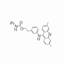 Cc1ccc2c(Nc3cccc(CCOC(=O)NC(C)C)c3)c3ccc(C)cc3nc2c1